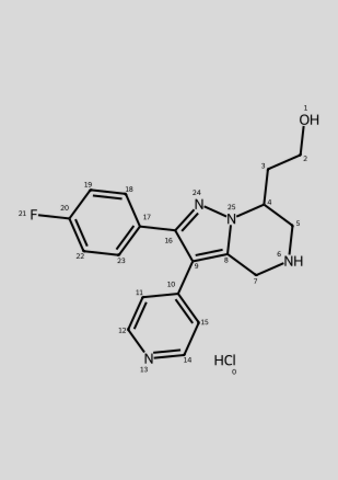 Cl.OCCC1CNCc2c(-c3ccncc3)c(-c3ccc(F)cc3)nn21